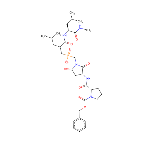 CNC(=O)[C@H](CC(C)C)NC(=O)C(CC(C)C)CP(=O)(O)CN1C(=O)C[C@@H](NC(=O)[C@@H]2CCCN2C(=O)OCc2ccccc2)C1=O